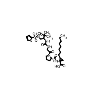 CCCCCCCCC1C[C@]1(NC(=O)[C@@H]1CCCN1C(=O)CNC(=O)NC(CN(C)S(=O)(=O)c1cccs1)C(C)(C)C)C(=O)O